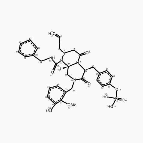 C=CCN1CC(=O)N2[C@@H](Cc3ccc(OP(=O)(O)O)cc3)C(=O)N(Cc3cccc(C(C)(C)C)c3OC)C[C@@H]2N1C(=O)NCc1ccccc1